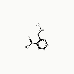 CNCc1ccccc1C(N)=O